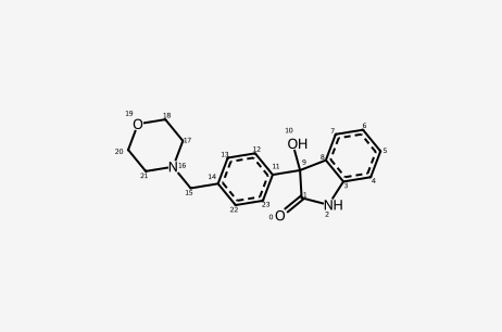 O=C1Nc2ccccc2C1(O)c1ccc(CN2CCOCC2)cc1